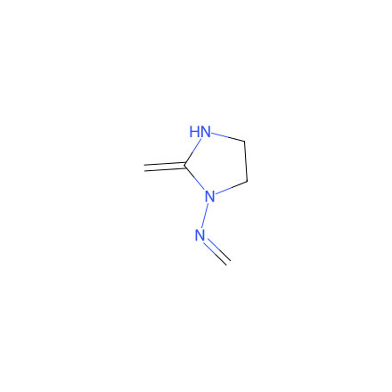 C=NN1CCNC1=C